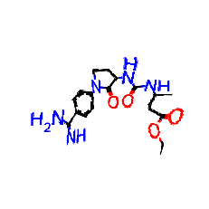 CCOC(=O)CC(C)NC(=O)N[C@@H]1CCN(c2ccc(C(=N)N)cc2)C1=O